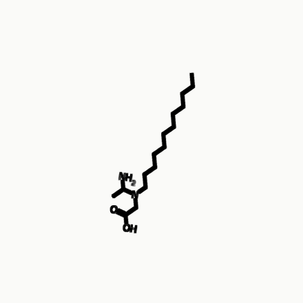 CCCCCCCCCCCCN(CC(=O)O)C(C)N